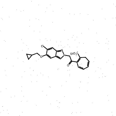 CCOC(=O)C1=C(C(=O)Cn2cc3cc(OCC4CC4)c(Cl)cc3n2)C=CC=CC1